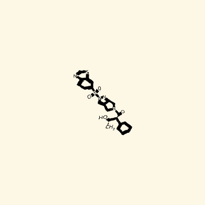 C[C@H](O)[C@@H](C(=O)N1Cc2cn(S(=O)(=O)c3ccc4ncsc4c3)nc2C1)c1ccccc1